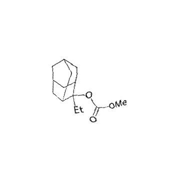 CCC1(OC(=O)OC)C2CC3CC(C2)CC1C3